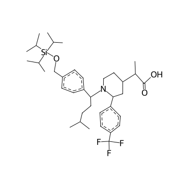 CC(C)CCC(c1ccc(CO[Si](C(C)C)(C(C)C)C(C)C)cc1)N1CCC(C(C)C(=O)O)CC1c1ccc(C(F)(F)F)cc1